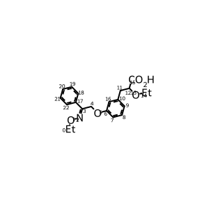 CCON=C(COc1cccc(CC(OCC)C(=O)O)c1)c1ccccc1